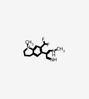 CN/C=C(\C=N)c1cc2c(cc1C(F)F)N(C)CCC2